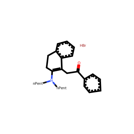 Br.CCCCCN(CCCCC)C1=C(CC(=O)c2ccccc2)c2ccccc2CC1